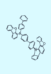 c1ccc(-c2ccc(N(c3ccc(-c4ccc(-n5c6ccccc6c6ccc7oc8ccccc8c7c65)cc4)cc3)c3cccc4c3oc3ccccc34)cc2)cc1